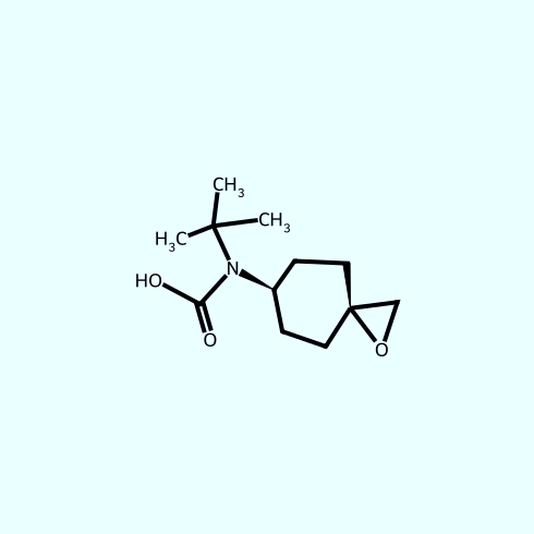 CC(C)(C)N(C(=O)O)[C@H]1CC[C@@]2(CC1)CO2